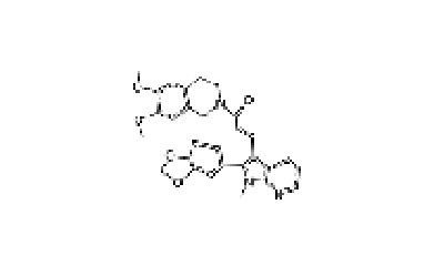 COc1cc2c(cc1OC)CN(C(=O)C=Cc1c(-c3ccc4c(c3)OCO4)n(C)c3ncccc13)CC2